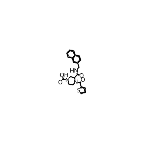 O=C(NCc1ccc2ccccc2c1)C1CN(C(=O)O)CCN1C(=O)c1cccs1